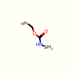 CCCCOC(=O)N[SiH3]